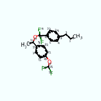 CCCc1ccc(C(F)(F)OC(C)c2ccc(OC(F)F)cc2)cc1